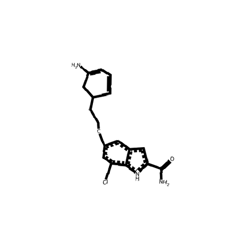 NC(=O)c1cc2cc(CCCC3C=CC=C(N)C3)cc(Cl)c2[nH]1